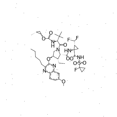 CCCCCc1nc2ccc(OC)cc2nc1O[C@H]1CN(C(=O)[C@@H](NC(=O)O[C@@H]2C[C@H]2C)C(C)(C)C)[C@H](C(=O)N[C@]2(C(=O)NS(=O)(=O)C3(F)CC3)C[C@H]2C(F)F)[C@@H]1CC